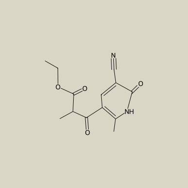 CCOC(=O)C(C)C(=O)c1cc(C#N)c(=O)[nH]c1C